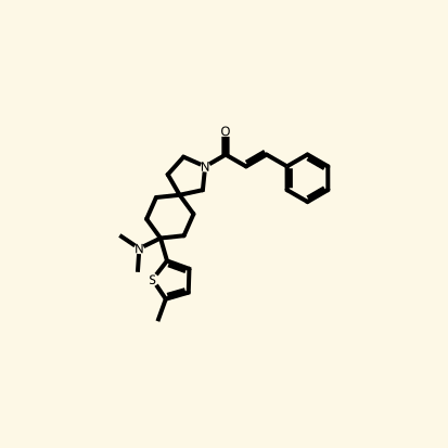 Cc1ccc(C2(N(C)C)CCC3(CCN(C(=O)C=Cc4ccccc4)C3)CC2)s1